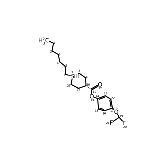 CCCCCCC[Si@H]1CC[C@H](C(=O)Oc2ccc(OC(F)F)cc2)CC1